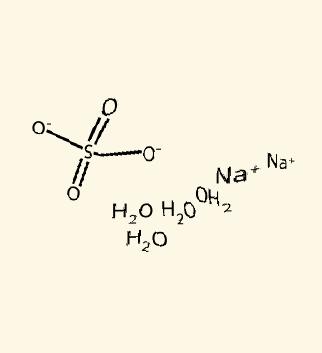 O.O.O.O.O=S(=O)([O-])[O-].[Na+].[Na+]